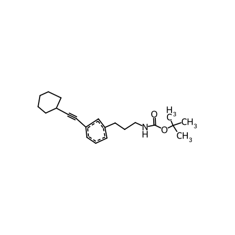 CC(C)(C)OC(=O)NCCCc1cccc(C#CC2CCCCC2)c1